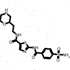 NS(=O)(=O)c1ccc(C(=O)Nc2ncc(C(=O)NCCC3CNCCO3)s2)cc1